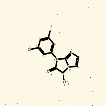 C[C@H]1C(=O)N(c2cc(Cl)cc(Cl)c2)c2nccn21